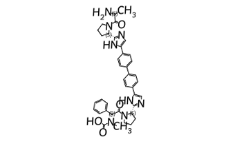 C[C@H](N)C(=O)N1CCC[C@H]1c1ncc(-c2ccc(-c3ccc(-c4cnc([C@@H]5CCCN5C(=O)[C@@H](c5ccccc5)N(C)C(=O)O)[nH]4)cc3)cc2)[nH]1